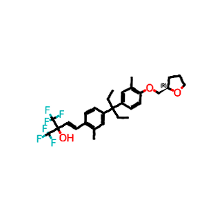 CCC(CC)(c1ccc(C=CC(O)(C(F)(F)F)C(F)(F)F)c(C)c1)c1ccc(OC[C@H]2CCCO2)c(C)c1